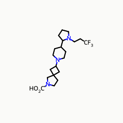 O=C(O)N1CCC2(CC(N3CCC(C4CCCN4CCC(F)(F)F)CC3)C2)C1